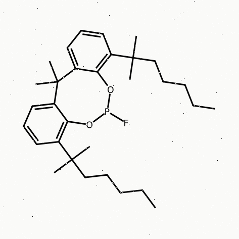 CCCCCC(C)(C)c1cccc2c1OP(F)Oc1c(C(C)(C)CCCCC)cccc1C2(C)C